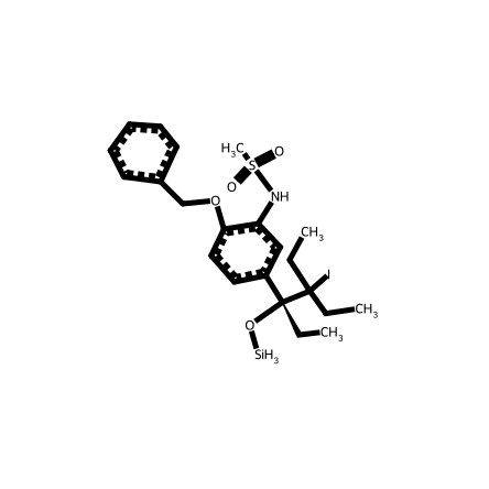 CCC(I)(CC)[C@](CC)(O[SiH3])c1ccc(OCc2ccccc2)c(NS(C)(=O)=O)c1